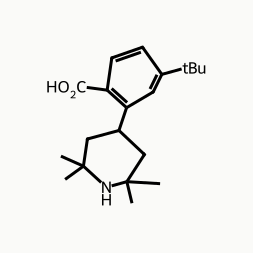 CC1(C)CC(c2cc(C(C)(C)C)ccc2C(=O)O)CC(C)(C)N1